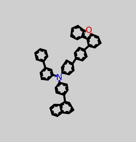 c1ccc(-c2cccc(N(c3ccc(-c4ccc(-c5cccc6oc7ccccc7c56)cc4)cc3)c3ccc(-c4cccc5ccccc45)cc3)c2)cc1